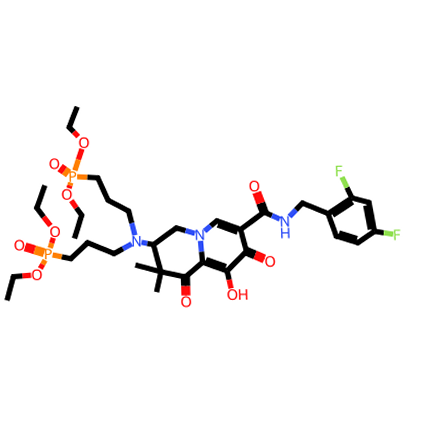 CCOP(=O)(CCCN(CCCP(=O)(OCC)OCC)C1Cn2cc(C(=O)NCc3ccc(F)cc3F)c(=O)c(O)c2C(=O)C1(C)C)OCC